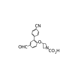 N#Cc1ccc(-c2cc(C=O)ccc2OC2CN(C(=O)O)C2)cc1